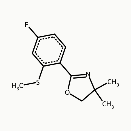 CSc1cc(F)ccc1C1=NC(C)(C)CO1